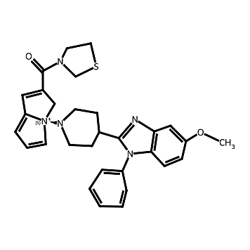 COc1ccc2c(c1)nc(C1CCN([N@@+]34C=CC=C3C=C(C(=O)N3CCSC3)C4)CC1)n2-c1ccccc1